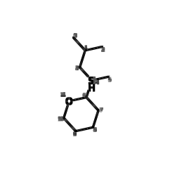 CC(C)C[SiH](C)C1CCCCO1